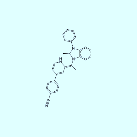 C/C(=C1\C=C(c2ccc(C#N)cc2)C=CN1)N1c2ccccc2N(c2ccccc2)[C@@H]1C